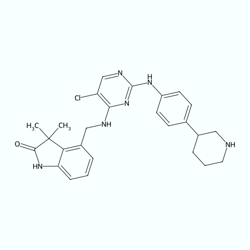 CC1(C)C(=O)Nc2cccc(CNc3nc(Nc4ccc(C5CCCNC5)cc4)ncc3Cl)c21